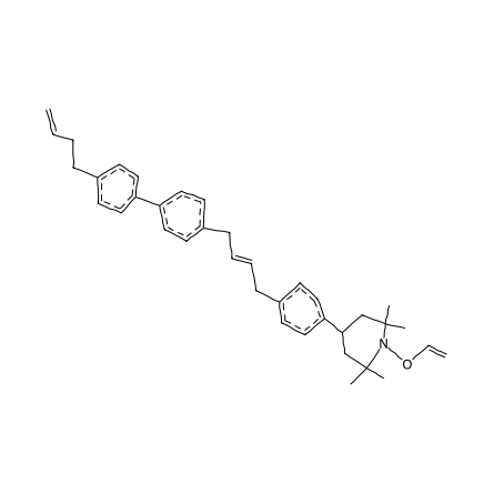 C=CCCc1ccc(-c2ccc(C/C=C/Cc3ccc(C4CC(C)(C)N(OC=C)C(C)(C)C4)cc3)cc2)cc1